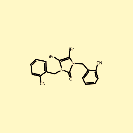 CC(C)c1c(C(C)C)n(Cc2ccccc2C#N)c(=O)n1Cc1ccccc1C#N